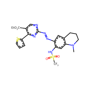 CCOC(=O)c1cnc(N=Nc2cc3c(cc2NS(=O)(=O)C(F)(F)F)N(C)CCC3)nc1-c1cccs1